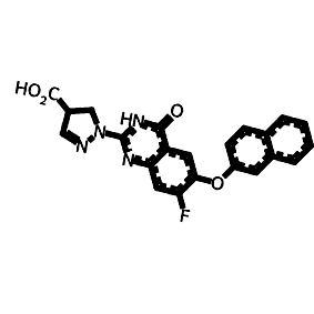 O=C(O)C1C=NN(c2nc3cc(F)c(Oc4ccc5ccccc5c4)cc3c(=O)[nH]2)C1